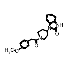 COc1ccc(CC(=O)N2CCC(n3c(=O)[nH]c4ccccc43)CC2)cc1